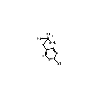 CC(N)(S)Cc1ccc(Cl)cc1